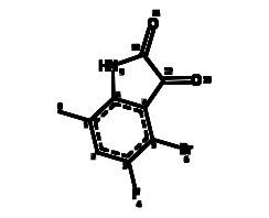 Cc1cc(F)c(Br)c2c1NC(=O)C2=O